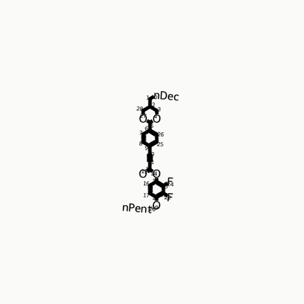 CCCCCCCCCCCC1COC(c2ccc(C#CC(=O)Oc3ccc(OCCCCC)c(F)c3F)cc2)OC1